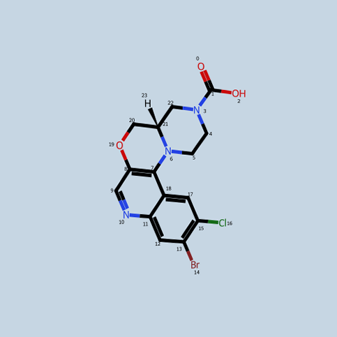 O=C(O)N1CCN2c3c(cnc4cc(Br)c(Cl)cc34)OC[C@@H]2C1